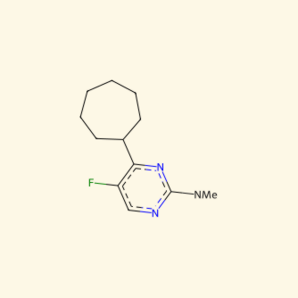 CNc1ncc(F)c(C2CCCCCC2)n1